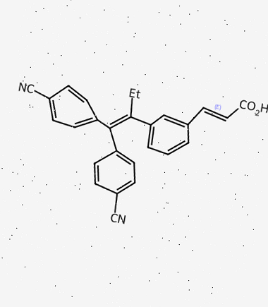 CCC(=C(c1ccc(C#N)cc1)c1ccc(C#N)cc1)c1cccc(/C=C/C(=O)O)c1